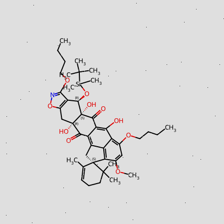 CCCCOc1noc2c1[C@@H](O[Si](C)(C)C(C)(C)C)[C@@]1(O)C(=O)c3c(c4c5c(c(OC)cc(OCCCC)c5c3O)[C@]3(C4)C(C)=CCCC3(C)C)C(=O)[C@@]1(O)C2